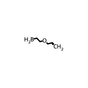 BCCOCC=C